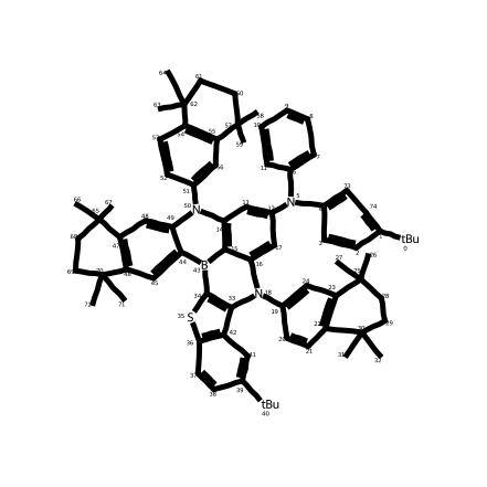 CC(C)(C)c1ccc(N(c2ccccc2)c2cc3c4c(c2)N(c2ccc5c(c2)C(C)(C)CCC5(C)C)c2c(sc5ccc(C(C)(C)C)cc25)B4c2cc4c(cc2N3c2ccc3c(c2)C(C)(C)CCC3(C)C)C(C)(C)CCC4(C)C)cc1